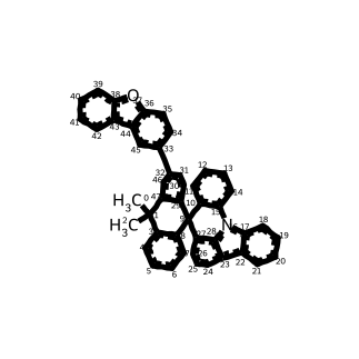 CC1(C)c2ccccc2C2(c3ccccc3-n3c4ccccc4c4cccc2c43)c2ccc(-c3ccc4oc5ccccc5c4c3)cc21